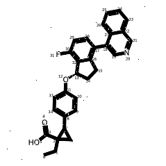 CCC1(C(=O)O)CC1c1ccc(O[C@@H]2CCc3c(-c4cncc5ccccc45)ccc(F)c32)cc1